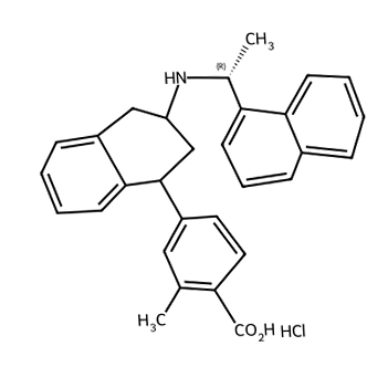 Cc1cc(C2CC(N[C@H](C)c3cccc4ccccc34)Cc3ccccc32)ccc1C(=O)O.Cl